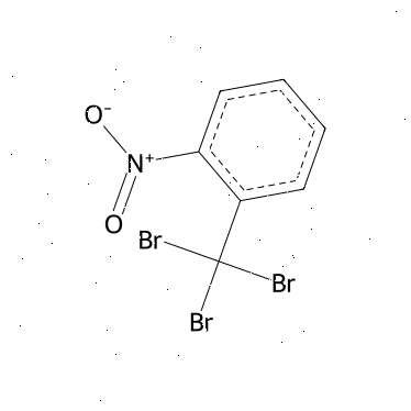 O=[N+]([O-])c1ccccc1C(Br)(Br)Br